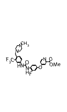 COC(=O)c1cc(Oc2ccc(NC(=O)Nc3ccc(CN4CCN(C)CC4)c(C(F)(F)F)c3)c(F)c2)ccn1